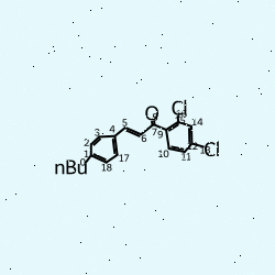 CCCCc1ccc(C=CC(=O)c2ccc(Cl)cc2Cl)cc1